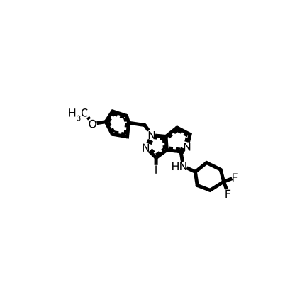 COc1ccc(Cn2nc(I)c3c(NC4CCC(F)(F)CC4)nccc32)cc1